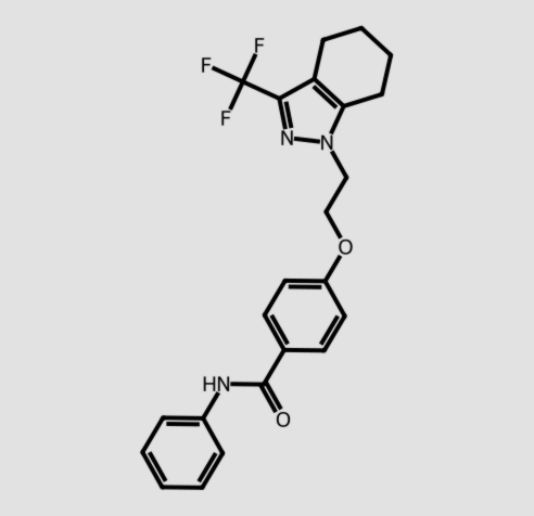 O=C(Nc1ccccc1)c1ccc(OCCn2nc(C(F)(F)F)c3c2CCCC3)cc1